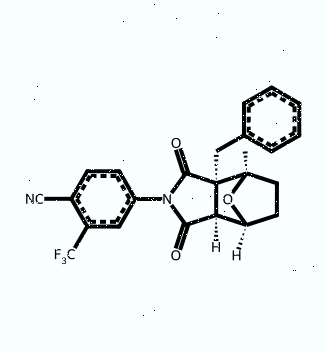 C[C@]12CC[C@H](O1)[C@H]1C(=O)N(c3ccc(C#N)c(C(F)(F)F)c3)C(=O)[C@]12Cc1ccccc1